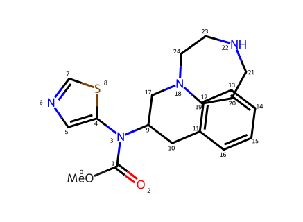 COC(=O)N(c1cncs1)C(Cc1ccccc1)CN1CCCNCC1